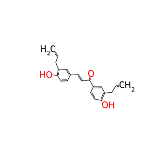 C=CCc1cc(/C=C/C(=O)c2ccc(O)c(CC=C)c2)ccc1O